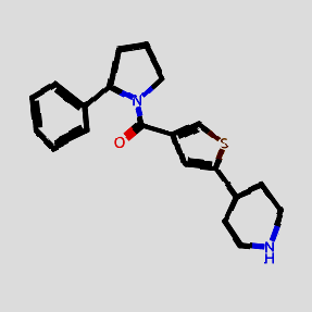 O=C(c1csc(C2CCNCC2)c1)N1CCCC1c1ccccc1